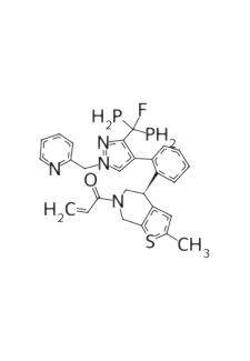 C=CC(=O)N1Cc2sc(C)cc2[C@H](c2ccccc2-c2cn(Cc3ccccn3)nc2C(F)(P)P)C1